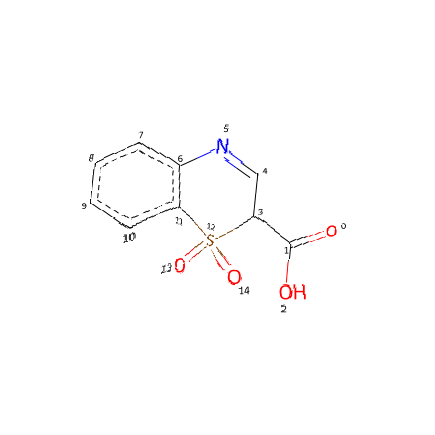 O=C(O)C1C=Nc2ccccc2S1(=O)=O